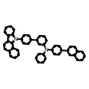 c1ccc(N(c2ccc(-c3ccc4ccccc4c3)cc2)c2cccc(-c3ccc(-n4c5ccccc5c5ccc6ccccc6c54)cc3)c2)cc1